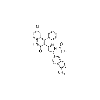 CCCC(=O)N1N=C(c2c(-c3ccccc3)c3cc(Cl)ccc3[nH]c2=O)CC1c1ccc2c(cnn2C)c1